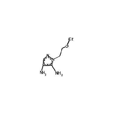 CCOCCn1ncc(N)c1N